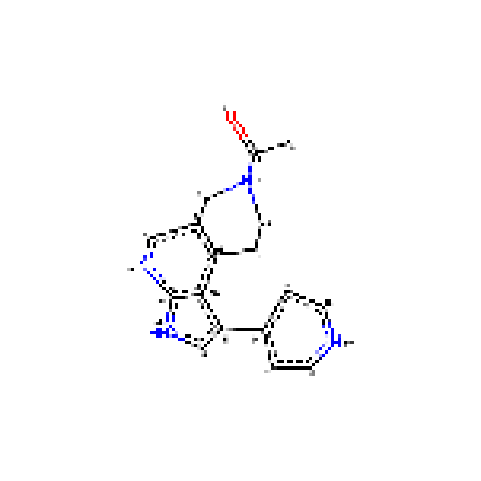 CC(=O)N1CCc2c(cnc3[nH]cc(-c4ccncc4)c23)C1